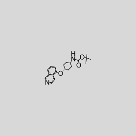 CC(C)(C)OC(=O)N[C@H]1CC[C@H](Oc2cccc3cnccc23)CC1